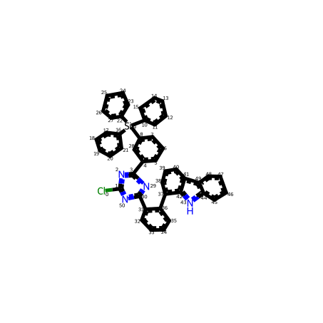 Clc1nc(-c2cccc([Si](c3ccccc3)(c3ccccc3)c3ccccc3)c2)nc(-c2ccccc2-c2cccc3c2[nH]c2ccccc23)n1